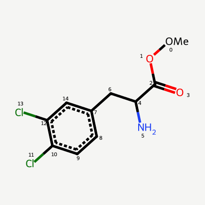 COOC(=O)C(N)Cc1ccc(Cl)c(Cl)c1